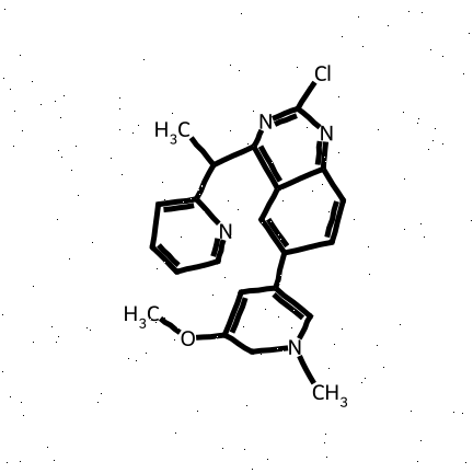 COC1=CC(c2ccc3nc(Cl)nc(C(C)c4ccccn4)c3c2)=CN(C)C1